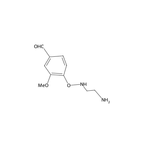 COc1cc(C=O)ccc1ONCCN